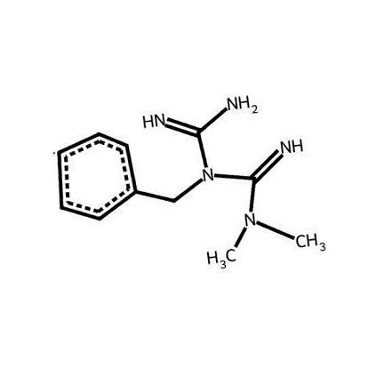 CN(C)C(=N)N(Cc1cc[c]cc1)C(=N)N